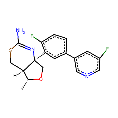 C[C@H]1OC[C@]2(c3cc(-c4cncc(F)c4)ccc3F)N=C(N)SC[C@H]12